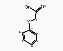 O=C(Br)CSc1ccccc1